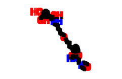 O=S(=O)(NCCN1CCOCC1)c1cccc(CCCCOCCCCCCNC[C@H](O)c2ccc(O)c(CO)c2)c1